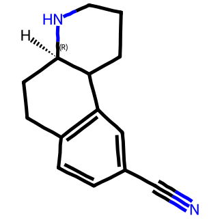 N#Cc1ccc2c(c1)C1CCCN[C@@H]1CC2